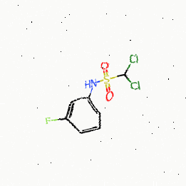 O=S(=O)(Nc1cccc(F)c1)C(Cl)Cl